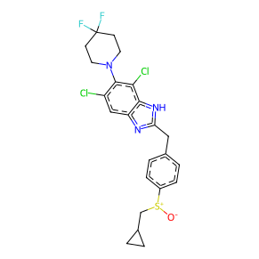 [O-][S+](CC1CC1)c1ccc(Cc2nc3cc(Cl)c(N4CCC(F)(F)CC4)c(Cl)c3[nH]2)cc1